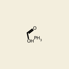 O=CO.P